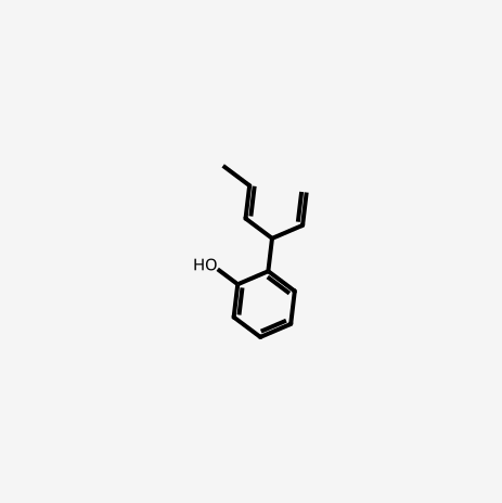 C=CC(C=CC)c1ccccc1O